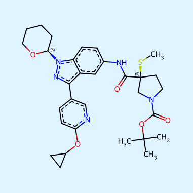 CS[C@@]1(C(=O)Nc2ccc3c(c2)c(-c2ccc(OC4CC4)nc2)nn3[C@@H]2CCCCO2)CCN(C(=O)OC(C)(C)C)C1